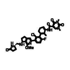 COc1nc(-c2ccc(F)c(C3=C(C)C(NC(=O)c4cn(C)c(=O)n(C)c4=O)=CCC3)c2Cl)cc2c1[C@@H](NC[C@@H]1CCC(=O)N1)CC2